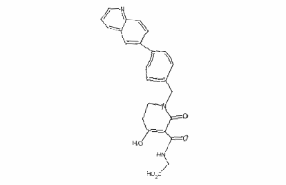 O=C(O)CNC(=O)C1=C(O)CCN(Cc2ccc(-c3ccc4ncccc4c3)cc2)C1=O